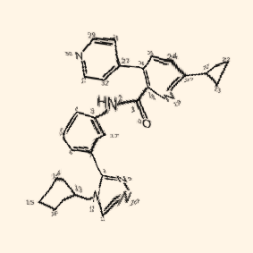 O=C(Nc1cccc(-c2nncn2C2CCC2)c1)c1nc(C2CC2)ccc1-c1ccncc1